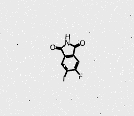 O=C1NC(=O)c2cc(I)c(F)cc21